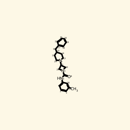 Cc1cccc(NC(=O)N2CC(N3CCC(Cc4ccccc4)CC3)C2)c1